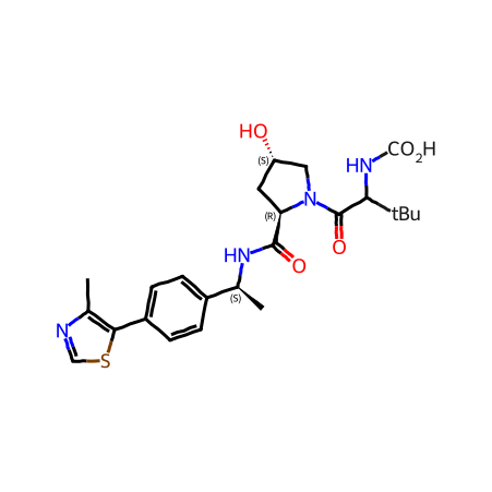 Cc1ncsc1-c1ccc([C@H](C)NC(=O)[C@H]2C[C@H](O)CN2C(=O)C(NC(=O)O)C(C)(C)C)cc1